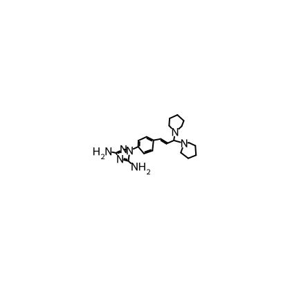 Nc1nc(N)n(-c2ccc(C=CC(N3CCCCC3)N3CCCCC3)cc2)n1